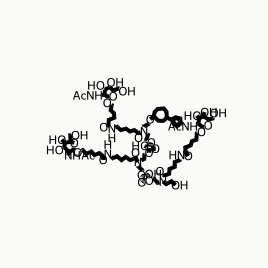 CC(=O)NC1C(OCCCCCC(=O)NCCCCCC(=O)N(CCO)CCOP(=O)(O)OCCN(CCOP(=O)(O)OCCN(CCOC2CCCCC(c3ccccc3)CC2)C(=O)CCCCCNC(=O)CCCCCOC2OC(CO)C(O)C(O)C2NC(C)=O)C(=O)CCCCCNC(=O)CCCCCOC2OC(CO)C(O)C(O)C2NC(C)=O)OC(CO)C(O)C1O